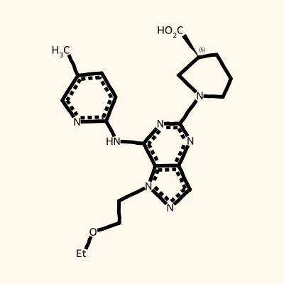 CCOCCn1ncc2nc(N3CCC[C@H](C(=O)O)C3)nc(Nc3ccc(C)cn3)c21